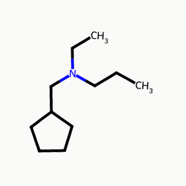 CCCN(CC)CC1CCCC1